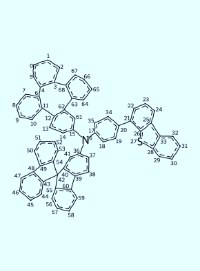 c1ccc2c(c1)-c1ccccc1-c1ccc(N(c3ccc(-c4cccc5c4sc4ccccc45)cc3)c3ccc4c(c3)C3(c5ccccc5-c5ccccc53)c3ccccc3-4)cc1-c1ccccc1-2